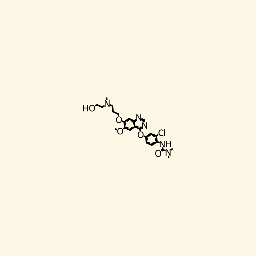 COc1cc2c(Oc3ccc(NC(=O)N(C)C)c(Cl)c3)ncnc2cc1OCCCN(C)CCO